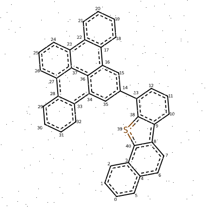 c1ccc2c(c1)ccc1c3cccc(-c4cc5c6ccccc6c6cccc7c8ccccc8c(c4)c5c67)c3sc21